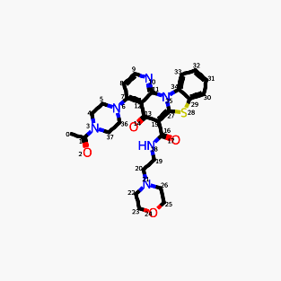 CC(=O)N1CCN(c2ccnc3c2c(=O)c(C(=O)NCCN2CCOCC2)c2sc4ccccc4n23)CC1